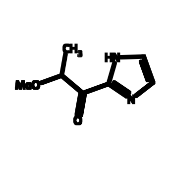 COC(C)C(=O)c1ncc[nH]1